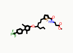 CCCC(CCCc1ccc(C(=O)NCCC(=O)OC)s1)COc1cc(C)c(-c2ccc(C(F)(F)F)cc2)c(C)c1